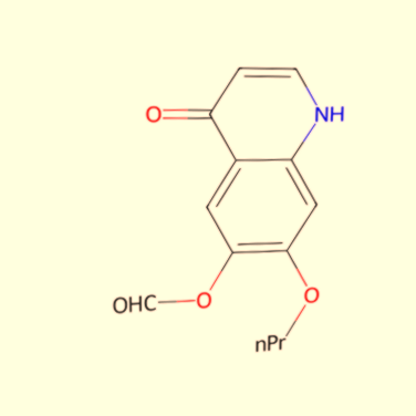 CCCOc1cc2[nH]ccc(=O)c2cc1OC=O